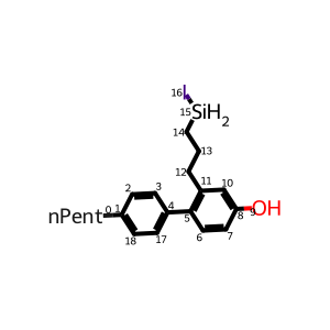 CCCCCc1ccc(-c2ccc(O)cc2CCC[SiH2]I)cc1